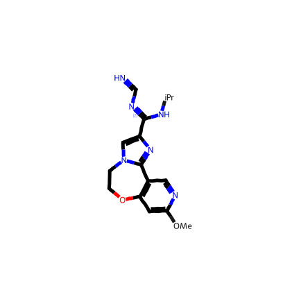 COc1cc2c(cn1)-c1nc(/C(=N/C=N)NC(C)C)cn1CCO2